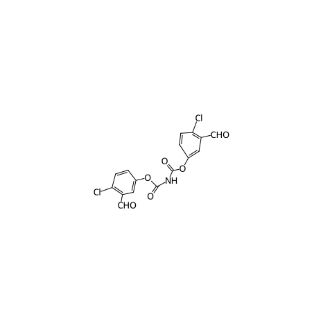 O=Cc1cc(OC(=O)NC(=O)Oc2ccc(Cl)c(C=O)c2)ccc1Cl